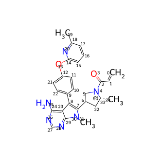 C=CC(=O)N1CC(c2c(-c3ccc(Oc4cccc(C)n4)cc3)c3c(N)ncnc3n2C)C[C@H]1C